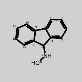 ONC1c2ccccc2-c2ccccc21